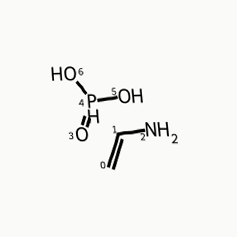 C=CN.O=[PH](O)O